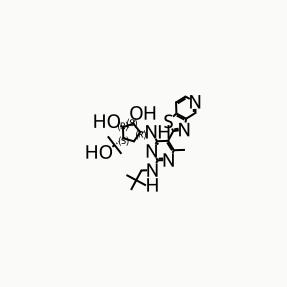 Cc1nc(NCC(C)(C)C)nc(N[C@@H]2C[C@H](C(C)(C)O)[C@@H](O)[C@H]2O)c1-c1nc2cnccc2s1